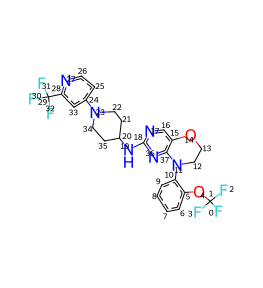 FC(F)(F)Oc1ccccc1N1CCOc2cnc(NC3CCN(c4ccnc(C(F)(F)F)c4)CC3)nc21